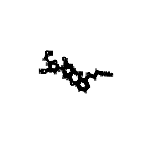 CNCCOc1cccc2c1Nc1nc(=O)n([C@H]3CC(O)[C@@H](CO)O3)cc1O2